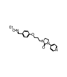 CCON=Cc1ccc(OCCCN2CCN(c3ccncc3)C2=O)cc1